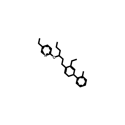 CCCC(CCC1=CCC(c2ccccc2C)C=C1CC)Oc1ccc(CC)cn1